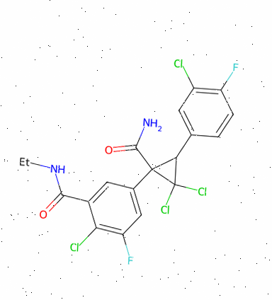 CCNC(=O)c1cc(C2(C(N)=O)C(c3ccc(F)c(Cl)c3)C2(Cl)Cl)cc(F)c1Cl